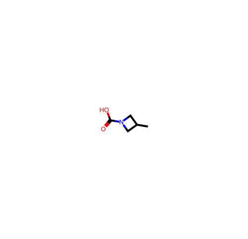 CC1CN(C(=O)O)C1